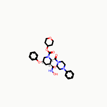 O=C(NO)[C@H]1C[C@H](Oc2ccccc2)CN(C(=O)OC2CCOCC2)[C@@H]1C(=O)N1CCN(c2ccccc2)CC1